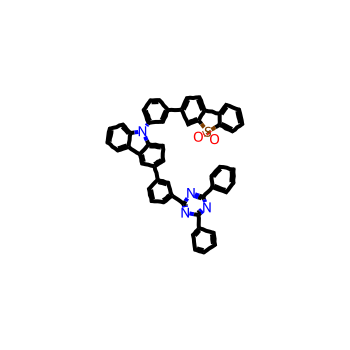 O=S1(=O)c2ccccc2-c2ccc(-c3cccc(-n4c5ccccc5c5cc(-c6cccc(-c7nc(-c8ccccc8)nc(-c8ccccc8)n7)c6)ccc54)c3)cc21